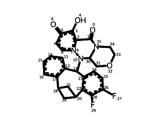 O=C1c2c(O)c(=O)ccn2N(C2c3ccccc3C3CC(C3)c3c2ccc(F)c3F)C2COCCN12